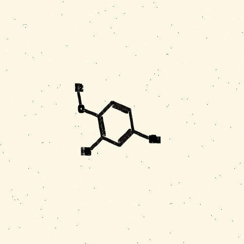 CCOc1ccc(C(C)(C)C)cc1S